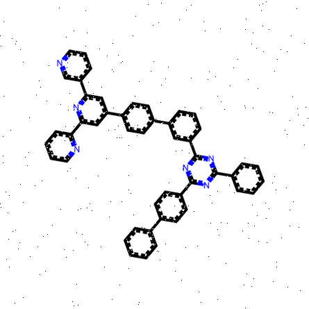 c1ccc(-c2ccc(-c3nc(-c4ccccc4)nc(-c4cccc(-c5ccc(-c6cc(-c7cccnc7)nc(-c7ccccn7)c6)cc5)c4)n3)cc2)cc1